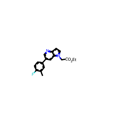 CCOC(=O)Cn1ccc2ncc(-c3ccc(F)c(C)c3)cc21